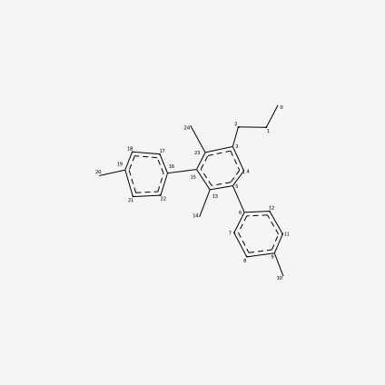 CCCc1[c]c(-c2ccc(C)cc2)c(C)c(-c2ccc(C)cc2)c1C